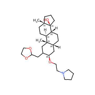 C[C@]12CC(CC3OCCO3)[C@H](OCCN3CCCC3)C[C@H]1CC[C@@H]1[C@@H]2CC[C@]2(C)CCC[C@]12O